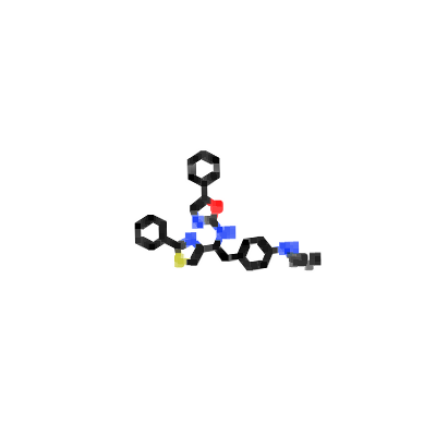 O=S(=O)(O)Nc1ccc(C[C@H](Nc2ncc(-c3ccccc3)o2)c2csc(-c3ccccc3)n2)cc1